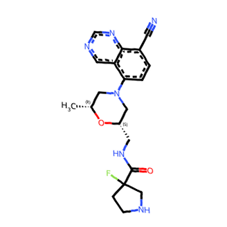 C[C@@H]1CN(c2ccc(C#N)c3ncncc23)C[C@H](CNC(=O)C2(F)CCNC2)O1